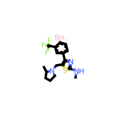 Bc1ccc(-c2nc(NC)sc2CN2CCCC2C)cc1C(F)(F)F